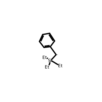 CC[Si]([CH]c1ccccc1)(CC)CC